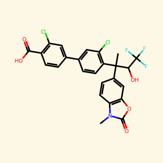 Cn1c(=O)oc2cc(C(C)(c3ccc(-c4ccc(C(=O)O)c(Cl)c4)cc3Cl)C(O)C(F)(F)F)ccc21